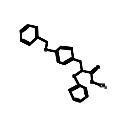 COC(=O)C(Cc1ccc(OCc2ccccc2)cc1)Oc1ccccc1